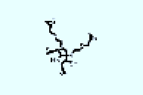 SC(CC1CS1)C(CSCCSCC1CS1)(SCCSCC1CS1)C(S)CC1CS1